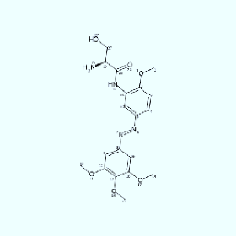 COc1ccc(N=Nc2cc(OC)c(OC)c(OC)c2)cc1NC(=O)[C@@H](N)CO